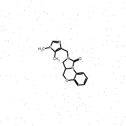 Cc1c(CN2CC3COc4ccccc4N3C2=O)ncn1C